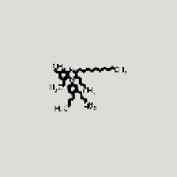 CCCCCCCCCCC(=Nc1cc(CC)cc(CC)c1)C(CCCC)=Nc1ccc(CCCC)c(CCCC)c1.[Ni]